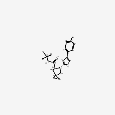 Cc1ccc(-c2c[nH]c([C@@H]3CC4(CC4)CN3C(=O)OC(C)(C)C)n2)cc1